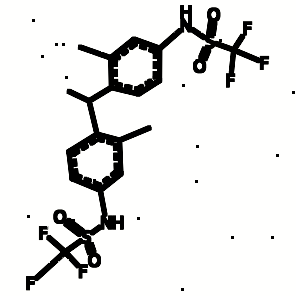 Cc1cc(NS(=O)(=O)C(F)(F)F)ccc1C(C)c1ccc(NS(=O)(=O)C(F)(F)F)cc1C